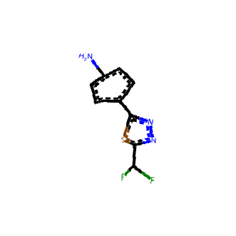 Nc1ccc(-c2nnc(C(F)F)s2)cc1